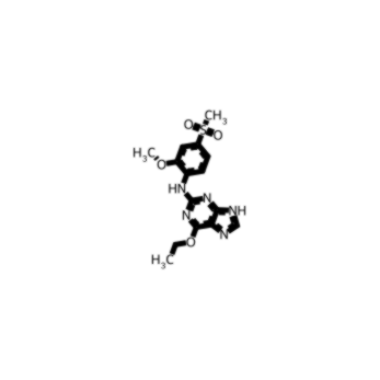 CCOc1nc(Nc2ccc(S(C)(=O)=O)cc2OC)nc2[nH]cnc12